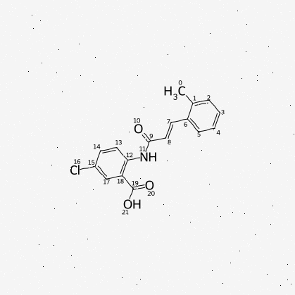 Cc1ccccc1C=CC(=O)Nc1ccc(Cl)cc1C(=O)O